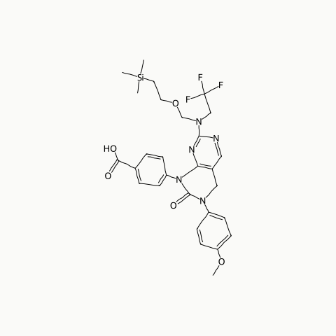 COc1ccc(N2Cc3cnc(N(COCC[Si](C)(C)C)CC(F)(F)F)nc3N(c3ccc(C(=O)O)cc3)C2=O)cc1